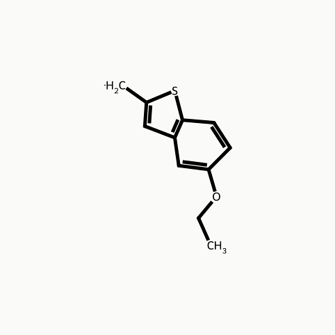 [CH2]c1cc2cc(OCC)ccc2s1